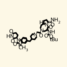 Cn1c(=O)n(C2CCC(=O)NC2=O)c2ccc(CC3CCN(CC(=O)N4CC[C@H]5CC[C@@H](C(N)=O)N5C(=O)[C@@H](NC(=O)OC(C)(C)C)C4)CC3)cc21